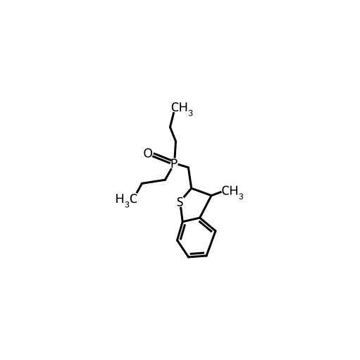 CCCP(=O)(CCC)CC1Sc2ccccc2C1C